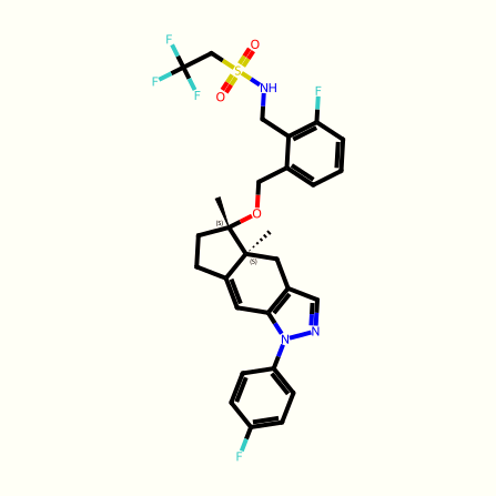 C[C@]12Cc3cnn(-c4ccc(F)cc4)c3C=C1CC[C@]2(C)OCc1cccc(F)c1CNS(=O)(=O)CC(F)(F)F